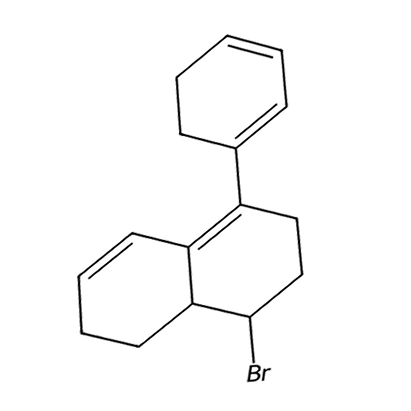 BrC1CCC(C2=CC=CCC2)=C2C=CCCC21